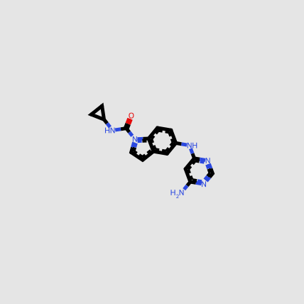 Nc1cc(Nc2ccc3c(ccn3C(=O)NC3CC3)c2)ncn1